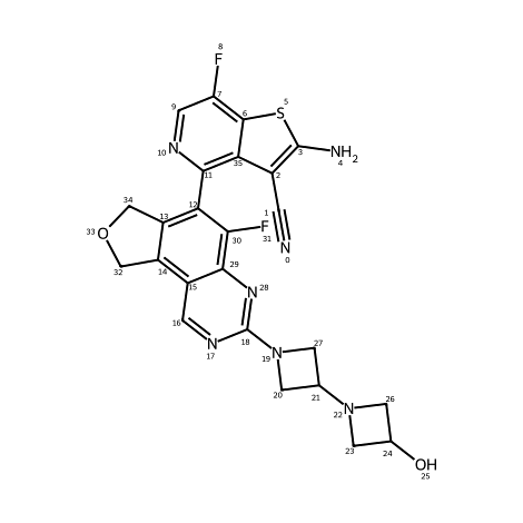 N#Cc1c(N)sc2c(F)cnc(-c3c4c(c5cnc(N6CC(N7CC(O)C7)C6)nc5c3F)COC4)c12